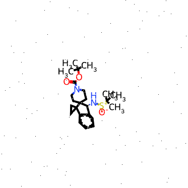 CC(C)(C)OC(=O)N1CCC2(CC1)[C@H](N[S@+]([O-])C(C)(C)C)c1ccccc1C21CC1